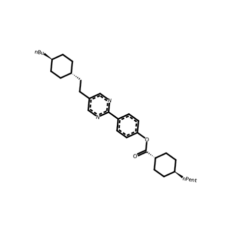 CCCCC[C@H]1CC[C@H](C(=O)Oc2ccc(-c3ncc(CC[C@H]4CC[C@H](CCCC)CC4)cn3)cc2)CC1